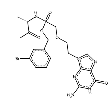 CC(=O)[C@H](C)NP(=O)(COCCn1cnc2c(=O)[nH]c(N)nc21)OCc1cccc(Br)c1